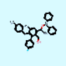 CC(C)c1cc(C(O[SiH](c2ccccc2)c2ccccc2)C(C)(C)C)c(CO)c(-c2ccc(F)cc2)c1Cc1ccc(C(F)(F)F)cc1